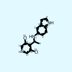 CC(Nc1ccc2[nH]ccc2c1)c1c(Cl)cncc1Cl